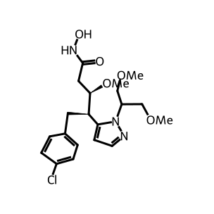 COCC(COC)n1nccc1[C@@H](Cc1ccc(Cl)cc1)[C@@H](CC(=O)NO)OC